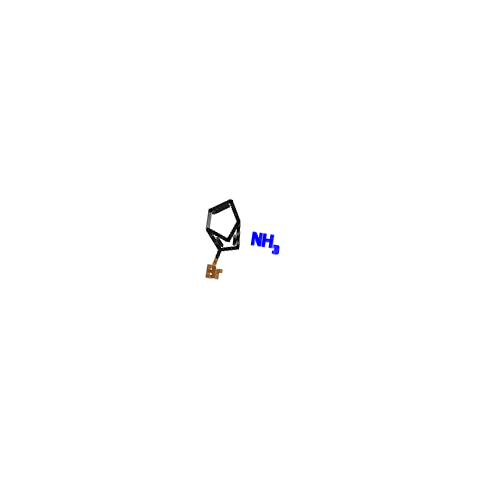 BrC1=C2C=CC(=C1)C2.N